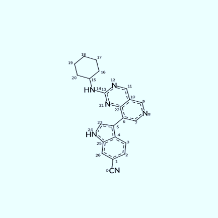 N#Cc1ccc2c(-c3cncc4cnc(NC5CCCCC5)nc34)c[nH]c2c1